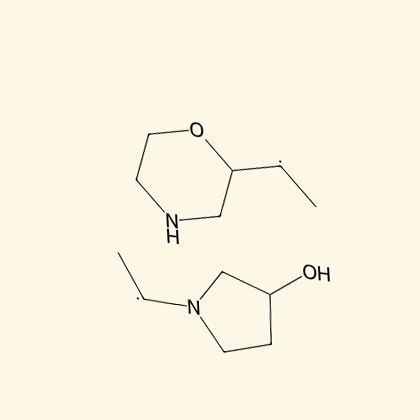 C[CH]C1CNCCO1.C[CH]N1CCC(O)C1